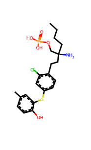 CCCC[C@](N)(CCc1ccc(Sc2cc(C)ccc2O)cc1Cl)COP(=O)(O)O